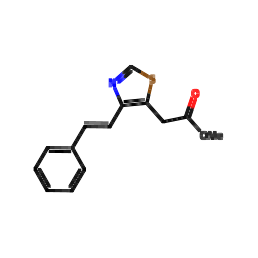 COC(=O)Cc1scnc1C=Cc1ccccc1